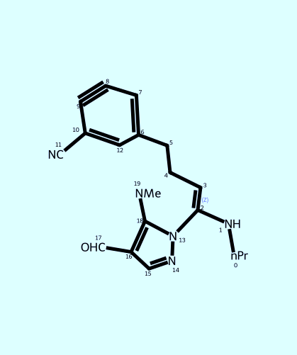 CCCN/C(=C/CCc1cc#cc(C#N)c1)n1ncc(C=O)c1NC